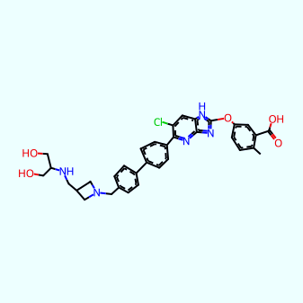 Cc1ccc(Oc2nc3nc(-c4ccc(-c5ccc(CN6CC(CNC(CO)CO)C6)cc5)cc4)c(Cl)cc3[nH]2)cc1C(=O)O